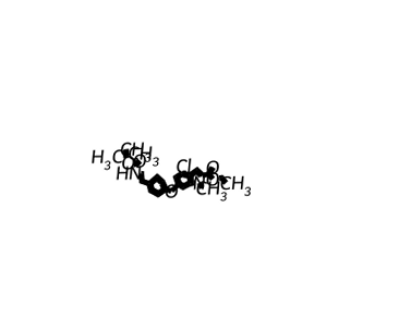 CCOC(=O)c1cc2c(Cl)cc(Oc3ccc(CCNC(=O)OC(C)(C)C)cc3)cc2n1C